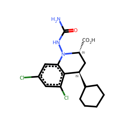 NC(=O)NN1c2cc(Cl)cc(Cl)c2[C@H](C2CCCCC2)C[C@H]1C(=O)O